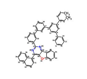 C/C=C\C(=C/C)c1cc(-c2ccccc2)cc(-c2cccc(-c3cccc(-c4nc(-c5cccc6ccccc56)c5oc6ccccc6c5n4)c3)c2)c1